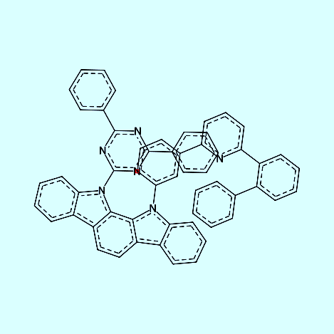 c1ccc(-c2nc(-c3ccccc3)nc(-n3c4ccccc4c4ccc5c6ccccc6n(-c6cccc(-c7cccc(-c8ccccc8-c8ccccc8)n7)c6)c5c43)n2)cc1